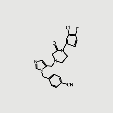 N#Cc1ccc(Cn2cncc2CN2CCN(c3ccc(F)c(Cl)c3)C(=O)C2)cc1